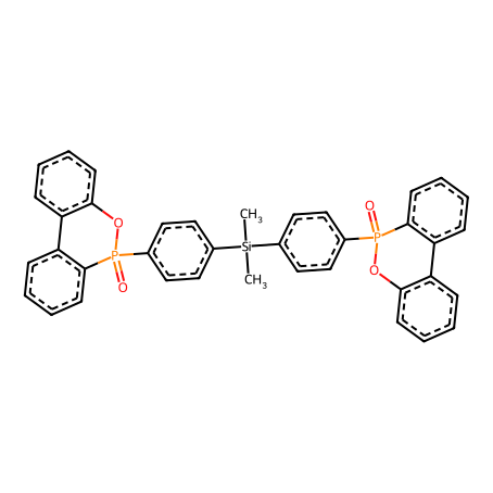 C[Si](C)(c1ccc(P2(=O)Oc3ccccc3-c3ccccc32)cc1)c1ccc(P2(=O)Oc3ccccc3-c3ccccc32)cc1